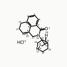 Cl.O=C1c2cccc3c2[C@H](CCC3)CN1[C@H]1CN2CCC1CC2